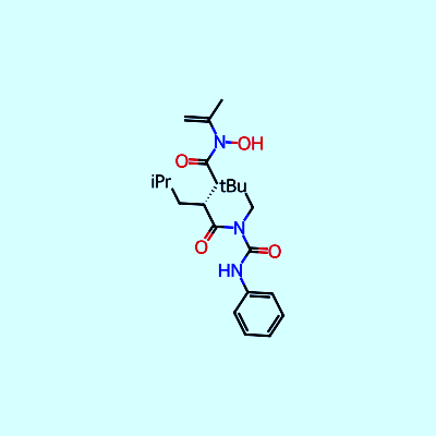 C=C(C)N(O)C(=O)C[C@@H](CC(C)C)C(=O)N(CC(C)(C)C)C(=O)Nc1ccccc1